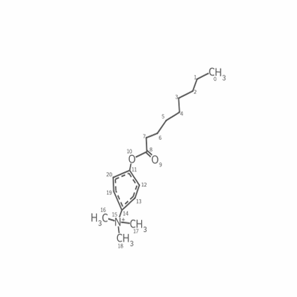 CCCCCCCCC(=O)Oc1ccc([N+](C)(C)C)cc1